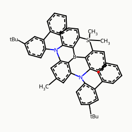 Cc1cc2c3c(c1)N(c1ccc(C(C)(C)C)cc1-c1ccccc1)c1cccc4c1B3c1c(cccc1[Si]4(C)C)N2c1ccc(C(C)(C)C)cc1-c1ccccc1